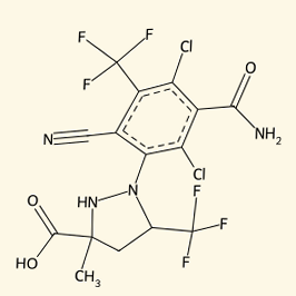 CC1(C(=O)O)CC(C(F)(F)F)N(c2c(Cl)c(C(N)=O)c(Cl)c(C(F)(F)F)c2C#N)N1